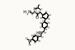 CC(C)C[C@@H](C(=O)NCN)c1cccc(-c2ccc(CNCc3ccc(N(C)C)cc3)cc2)c1